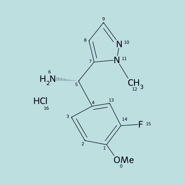 COc1ccc([C@H](N)c2ccnn2C)cc1F.Cl